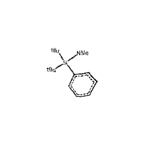 CN[Si](c1ccccc1)(C(C)(C)C)C(C)(C)C